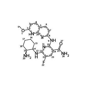 COc1ccc2ccc(Nc3nc(NC4CCCC[C@@H]4N)c(F)cc3C(N)=O)cc2n1